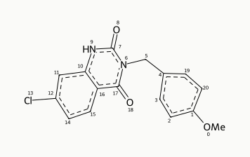 COc1ccc(Cn2c(=O)[nH]c3cc(Cl)ccc3c2=O)cc1